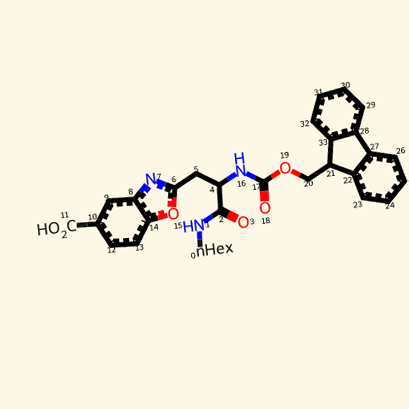 CCCCCCNC(=O)C(Cc1nc2cc(C(=O)O)ccc2o1)NC(=O)OCC1c2ccccc2-c2ccccc21